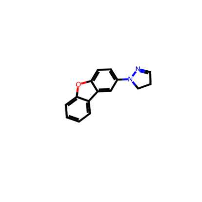 C1=NN(c2ccc3oc4ccccc4c3c2)CC1